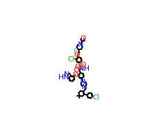 CC1(C)CCC(CN2CCN(c3ccc(C(=O)NS(=O)(=O)c4ccc(OCC5(F)CCN(C6COC6)CC5)c(Cl)c4)c(Oc4cccc5[nH]ncc45)c3)CC2)=C(c2ccc(Cl)cc2)C1